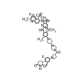 COc1cc(N2CCC(N3CCN(C(=O)C4CCN(c5cc(F)c(C6CCC(=O)NC6=O)c(F)c5)C4)CC3)CC2)c(C)cc1Nc1ncc(Br)c(Nc2ccc3nc(C)c(F)cc3c2P(C)(C)=O)n1